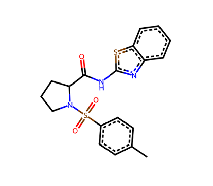 Cc1ccc(S(=O)(=O)N2CCCC2C(=O)Nc2nc3ccccc3s2)cc1